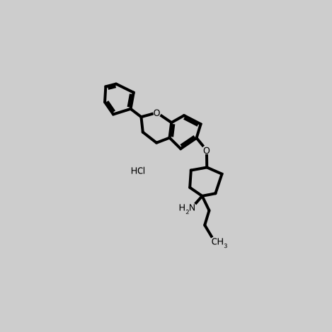 CCCC1(N)CCC(Oc2ccc3c(c2)CCC(c2ccccc2)O3)CC1.Cl